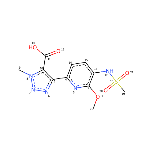 COc1nc(-c2nnn(C)c2C(=O)O)ccc1NS(C)(=O)=O